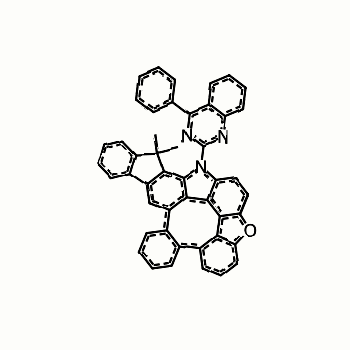 CC1(C)c2ccccc2-c2cc3c4ccccc4c4cccc5oc6ccc7c(c6c54)c3c(c21)n7-c1nc(-c2ccccc2)c2ccccc2n1